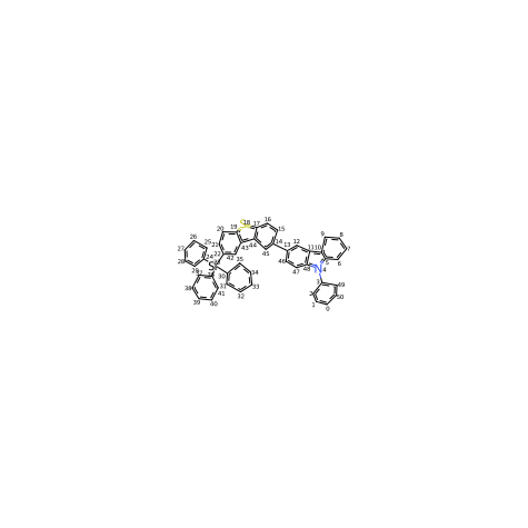 c1ccc(-n2c3ccccc3c3cc(-c4ccc5sc6ccc([Si](c7ccccc7)(c7ccccc7)c7ccccc7)cc6c5c4)ccc32)cc1